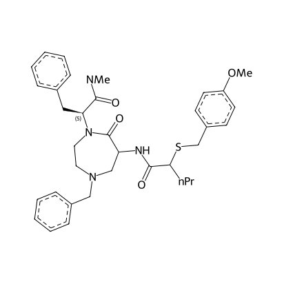 CCCC(SCc1ccc(OC)cc1)C(=O)NC1CN(Cc2ccccc2)CCN([C@@H](Cc2ccccc2)C(=O)NC)C1=O